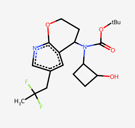 CC(F)(F)Cc1cnc2c(c1)C(N(C(=O)OC(C)(C)C)C1CCC1O)CCO2